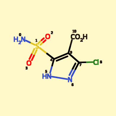 NS(=O)(=O)c1[nH]nc(Cl)c1C(=O)O